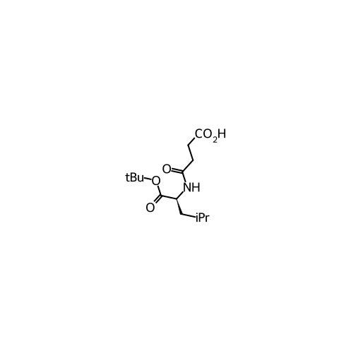 CC(C)C[C@H](NC(=O)CCC(=O)O)C(=O)OC(C)(C)C